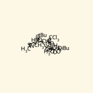 C/C(=C/C[C@H](NC(=O)OC(C)(C)C)/C(C)=C/c1csc(C)n1)CCCC(C)[C@H](OC(=O)OCC(Cl)(Cl)Cl)C(C)C(=O)C(C)(C)C(=O)CC(=O)OCC(C)C